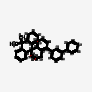 CC1(C)c2ccccc2C2(c3ccccc3Sc3c(-c4cccc(-c5ccncc5)c4)cccc32)c2ccccc21